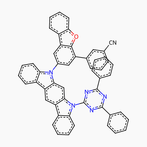 N#Cc1cccc(-c2cc(-n3c4ccccc4c4cc5c6ccccc6n(-c6nc(-c7ccccc7)nc(-c7ccccc7)n6)c5cc43)cc3c2oc2ccccc23)c1